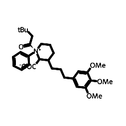 COc1cc(CCCC2CCC[N@+](C(=O)CC(C)(C)C)(c3ccccc3)C2C(=O)[O-])cc(OC)c1OC